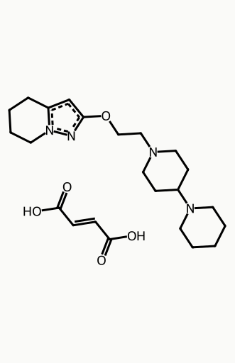 O=C(O)C=CC(=O)O.c1c(OCCN2CCC(N3CCCCC3)CC2)nn2c1CCCC2